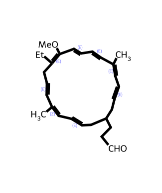 CC/C1=C(OC)/C=C/C=C/C(C)=C/C=C/CC(CCC=O)C/C=C/C=C(C)\C=C\C1